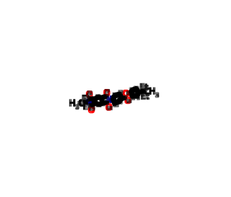 CCC(C)(CC)c1ccc(OC(=O)c2ccc(N3C(=O)C4CC5C(=O)N(C(C)(CC)CC)C(=O)C5CC4C3=O)cc2)cc1